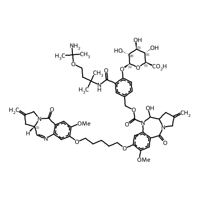 C=C1CC2C(O)N(C(=O)OCc3ccc(O[C@@H]4O[C@H](C(=O)O)[C@@H](O)[C@H](O)[C@H]4O)c(C(=O)NC(C)(C)CCOC(C)(C)N)c3)c3cc(OCCCCCOc4cc5c(cc4OC)C(=O)N4CC(=C)C[C@H]4C=N5)c(OC)cc3C(=O)N2C1